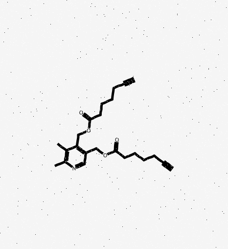 C#CCCCCC(=O)OCc1cnc(C)c(C)c1COC(=O)CCCCC#C